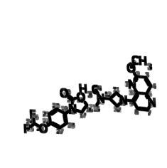 COc1ccc2nccc(N3CC(N(C)C[C@@H]4CN(c5ccc(OC(F)F)cc5)C(=O)O4)C3)c2n1